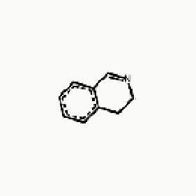 [C]1Cc2ccccc2C=N1